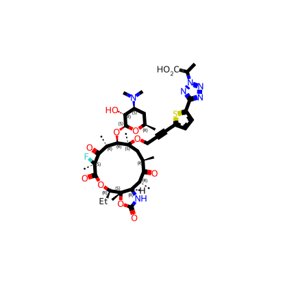 CC[C@H]1OC(=O)[C@@](C)(F)C(=O)[C@H](C)[C@@H](O[C@@H]2O[C@H](C)C[C@H](N(C)C)[C@H]2O)[C@@](C)(OCC#Cc2ccc(-c3nnn(C(C)C(=O)O)n3)s2)C[C@@H](C)C(=O)[C@H](C)[C@H]2NC(=O)O[C@@]21C